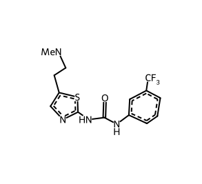 CNCCc1cnc(NC(=O)Nc2cccc(C(F)(F)F)c2)s1